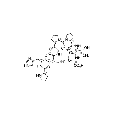 CC(C)C[C@H](NC(=O)[C@H](Cc1c[nH]cn1)NC(=O)[C@@H]1CCCN1)C(=O)N[C@@H](C)C(=O)N1CCC[C@H]1C(=O)N1CCC[C@H]1C(=O)N[C@H](C(=O)N[C@@H](C)C(=O)O)[C@@H](C)O